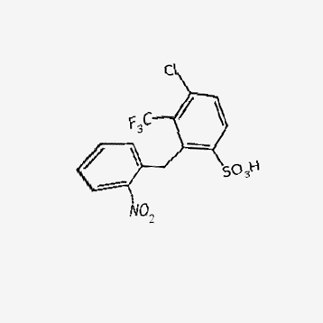 O=[N+]([O-])c1ccccc1Cc1c(S(=O)(=O)O)ccc(Cl)c1C(F)(F)F